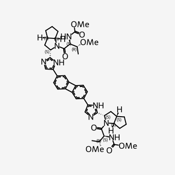 COC(=O)N[C@H](C(=O)N1[C@H](c2ncc(-c3ccc4c(c3)-c3ccc(-c5cnc([C@@H]6C[C@@H]7CCC[C@@H]7N6C(=O)[C@@H](NC(=O)OC)[C@@H](C)OC)[nH]5)cc3-4)[nH]2)C[C@@H]2CCC[C@@H]21)[C@@H](C)OC